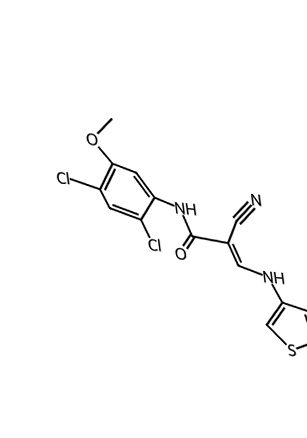 COc1cc(NC(=O)C(C#N)=CNc2ccsc2)c(Cl)cc1Cl